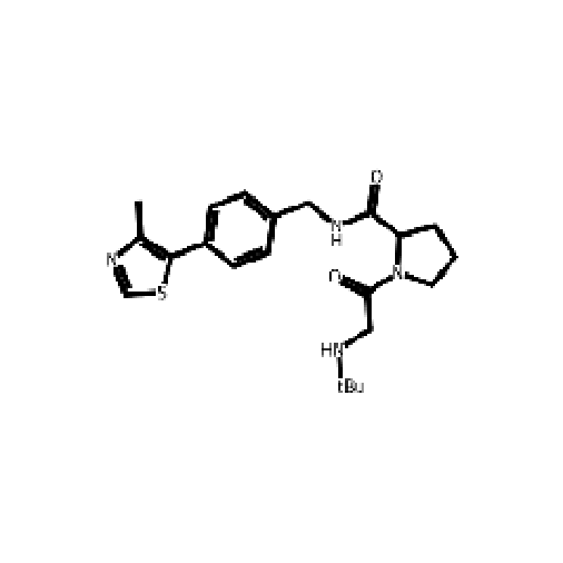 Cc1ncsc1-c1ccc(CNC(=O)C2CCCN2C(=O)CNC(C)(C)C)cc1